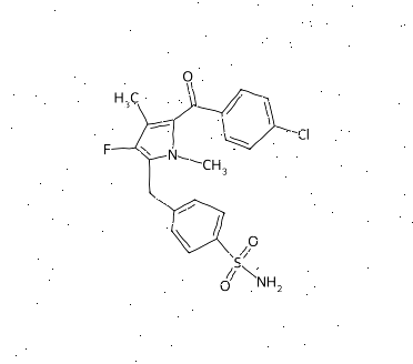 Cc1c(F)c(Cc2ccc(S(N)(=O)=O)cc2)n(C)c1C(=O)c1ccc(Cl)cc1